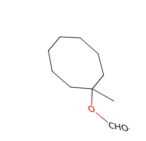 CC1(O[C]=O)CCCCCCC1